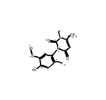 CCOc1cc(-n2c(=O)cc(C(F)(F)F)n(C)c2=O)c(F)cc1C#N